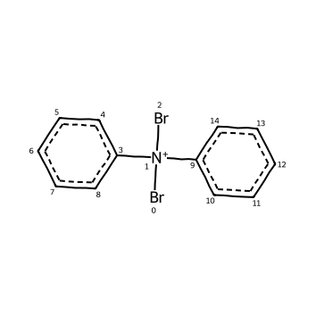 Br[N+](Br)(c1ccccc1)c1ccccc1